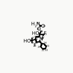 CC(C)(O)c1cc(C(O)(COC(N)=O)C(F)F)nc(-c2ccccc2)c1F